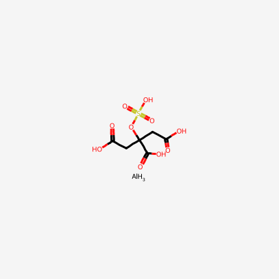 O=C(O)CC(CC(=O)O)(OS(=O)(=O)O)C(=O)O.[AlH3]